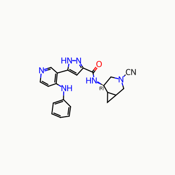 N#CN1CC2CC2[C@@H](NC(=O)c2cc(-c3cnccc3Nc3ccccc3)[nH]n2)C1